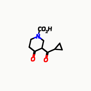 O=C1CCN(C(=O)O)CC1C(=O)C1CC1